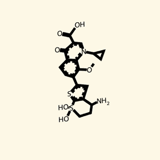 COc1c(-c2cc3c(s2)S(O)(O)CCC3N)ccc2c(=O)c(C(=O)O)cn(C3CC3)c12